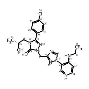 O=c1n(Cc2ncn(-c3cnccc3NCC(F)(F)F)n2)nc(-c2ccc(Cl)cc2)n1C[C@H](O)C(F)(F)F